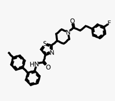 Cc1ccc(-c2ccccc2NC(=O)c2csc(C3CCN(C(=O)CCc4cccc(F)c4)CC3)n2)cc1